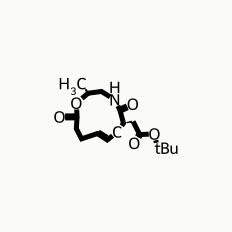 C[C@@H]1CNC(=O)[C@H](CC(=O)OC(C)(C)C)C/C=C/CCC(=O)O1